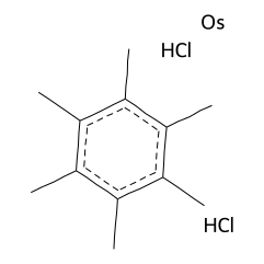 Cc1c(C)c(C)c(C)c(C)c1C.Cl.Cl.[Os]